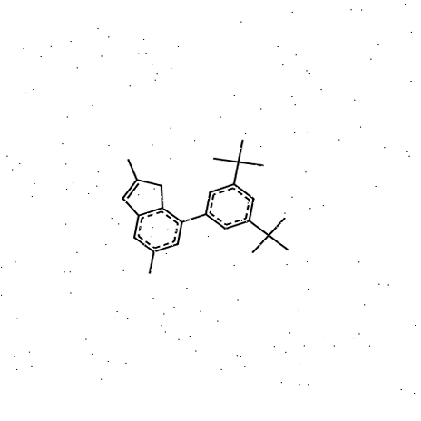 CC1=Cc2cc(C)cc(-c3cc(C(C)(C)C)cc(C(C)(C)C)c3)c2C1